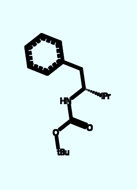 CC(C)[C@@H](Cc1ccccc1)NC(=O)OC(C)(C)C